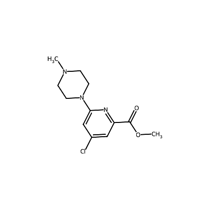 COC(=O)c1cc(Cl)cc(N2CCN(C)CC2)n1